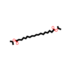 CC(C)OC(=O)CCCCCCCCCCCCCCCCC(=O)OC(C)C